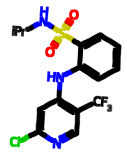 CC(C)NS(=O)(=O)c1ccccc1Nc1cc(Cl)ncc1C(F)(F)F